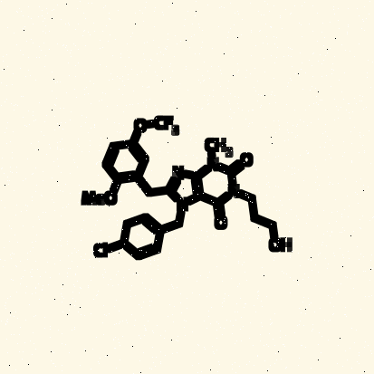 COc1ccc(OC(F)(F)F)cc1Cc1nc2c(c(=O)n(CCCO)c(=O)n2C)n1CC1=CCC(Cl)C=C1